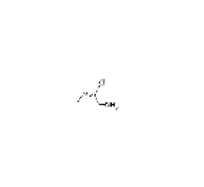 C/C=C(/Cl)CN